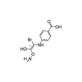 NO/C(O)=C(/Br)Nc1ccc(C(=O)O)cc1